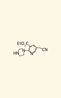 CCOC(=O)c1cc(CC#N)cnc1N1CCNCC1